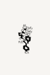 C[C@@H](NC(=O)C1(C)CCN1C(=O)OC(C)(C)C)[C@H](Cc1ccc(Cl)cc1)c1ccc(Cl)cc1